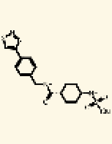 CC(C)(C)S(=O)(=O)N[C@H]1CC[C@H](C(=O)NCc2ccc(-c3csnn3)cc2)CC1